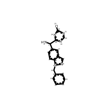 NC(c1ccc2c(cnn2Cc2ccccc2)c1)c1ncnc(Cl)n1